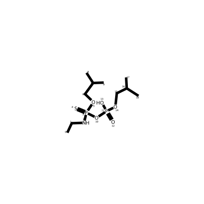 CCNP(=S)(OCC(C)C)OP(=O)(O)OCC(C)C